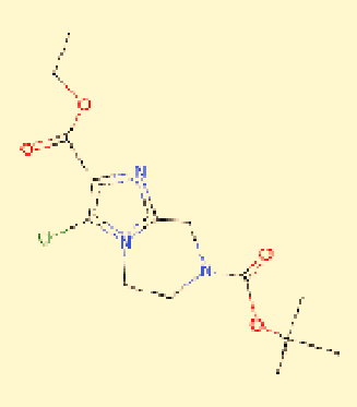 CCOC(=O)c1nc2n(c1Cl)CCN(C(=O)OC(C)(C)C)C2